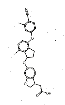 N#Cc1ccc(Oc2ccc(F)c3c2CC[C@H]3Oc2ccc3c(c2)OCC3CC(=O)O)cc1F